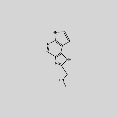 CNCc1nc2cnc3[nH]ccc3c2[nH]1